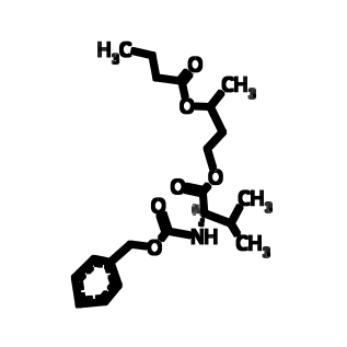 CCCC(=O)OC(C)CCOC(=O)[C@@H](NC(=O)OCc1ccccc1)C(C)C